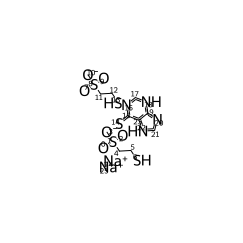 O=S(=O)([O-])CCS.O=S(=O)([O-])CCS.S=c1nc[nH]c2nc[nH]c12.[Na+].[Na+]